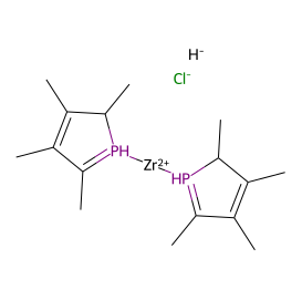 CC1=C(C)C(C)[PH]([Zr+2][PH]2=C(C)C(C)=C(C)C2C)=C1C.[Cl-].[H-]